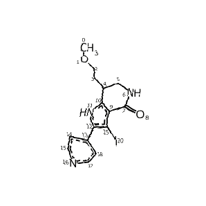 COCCC1CNC(=O)c2c1[nH]c(-c1ccncc1)c2I